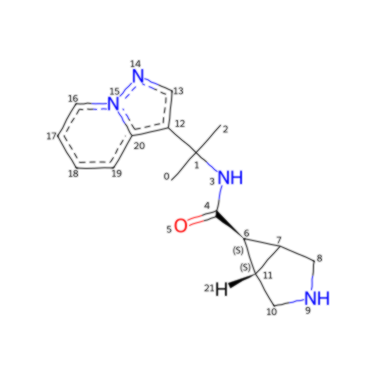 CC(C)(NC(=O)[C@H]1C2CNC[C@@H]21)c1cnn2ccccc12